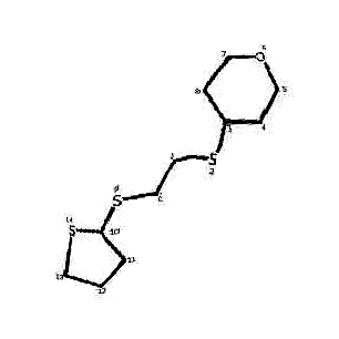 [CH](CSC1CCOCC1)SC1CCCS1